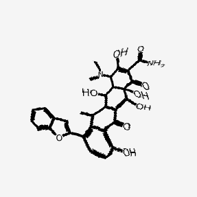 CC1c2c(-c3cc4ccccc4o3)ccc(O)c2C(=O)C2=C(O)C3(O)C(=O)C(C(N)=O)=C(O)C(N(C)C)C3C(O)C21